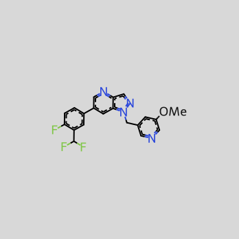 COc1cncc(Cn2ncc3ncc(-c4ccc(F)c(C(F)F)c4)cc32)c1